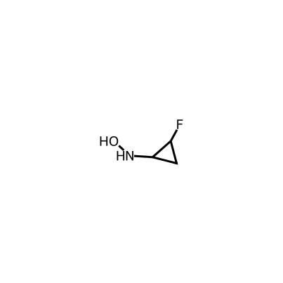 ONC1CC1F